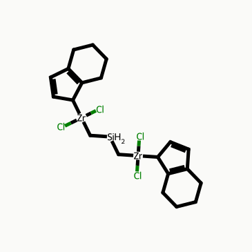 [Cl][Zr]([Cl])([CH2][SiH2][CH2][Zr]([Cl])([Cl])[CH]1C=CC2=C1CCCC2)[CH]1C=CC2=C1CCCC2